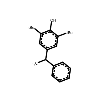 CC(C)(C)c1cc(C(c2ccccc2)C(F)(F)F)cc(C(C)(C)C)c1O